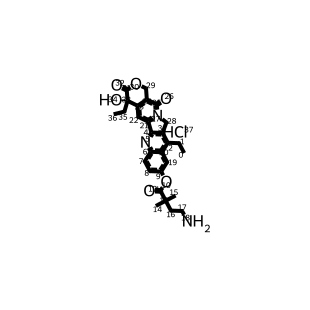 CCc1c2c(nc3ccc(OC(=O)C(C)(C)CCN)cc13)-c1cc3c(c(=O)n1C2)COC(=O)[C@]3(O)CC.Cl